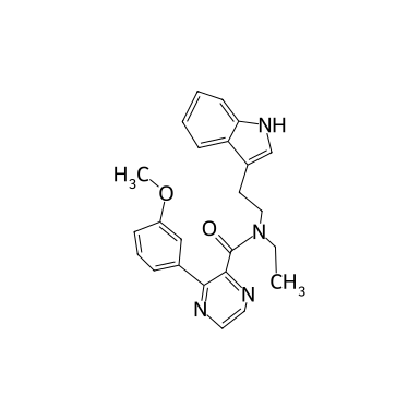 CCN(CCc1c[nH]c2ccccc12)C(=O)c1nccnc1-c1cccc(OC)c1